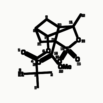 CCC(C)(C)C(=O)OC1C2CC3C1(C)OS(=O)(=O)C3(C(=O)OC)C2